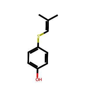 CC(C)=CSc1ccc(O)cc1